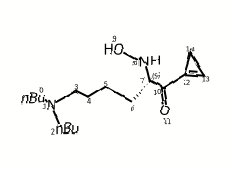 CCCCN(CCCC)CCCC[C@H](NO)C(=O)C1=CC1